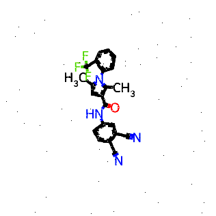 Cc1cc(C(=O)Nc2ccc(C#N)c(C#N)c2)c(C)n1-c1ccccc1C(F)(F)F